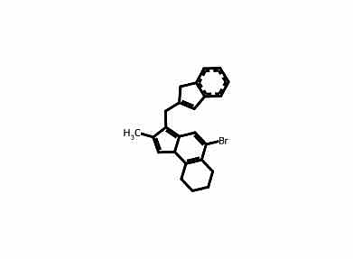 CC1=CC2C(=C1CC1=Cc3ccccc3C1)C=C(Br)C1=C2CCCC1